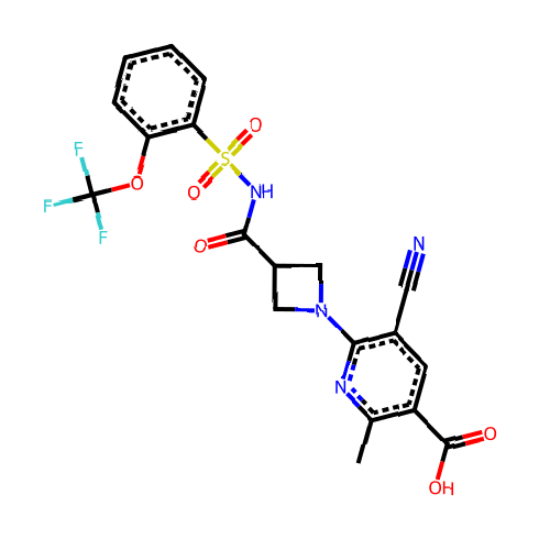 Cc1nc(N2CC(C(=O)NS(=O)(=O)c3ccccc3OC(F)(F)F)C2)c(C#N)cc1C(=O)O